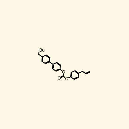 C=CCc1ccc(OC(=O)Oc2ccc(-c3ccc(CC(C)CC)cc3)cc2)cc1